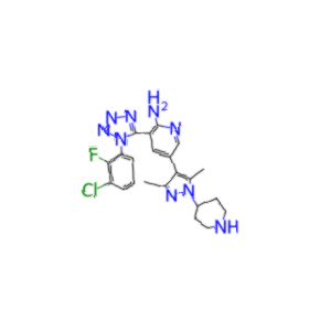 Cc1nn(C2CCNCC2)c(C)c1-c1cnc(N)c(-c2nnnn2-c2cccc(Cl)c2F)c1